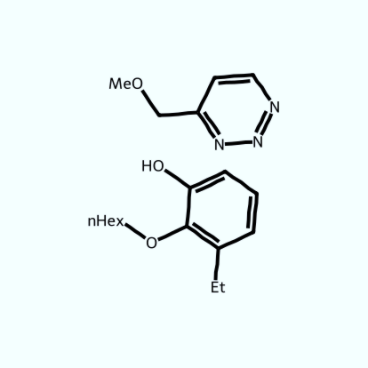 CCCCCCOc1c(O)cccc1CC.COCc1ccnnn1